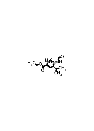 CCOC(=O)/C(C)=C/[C@H](C(C)C)N(C)BC=O